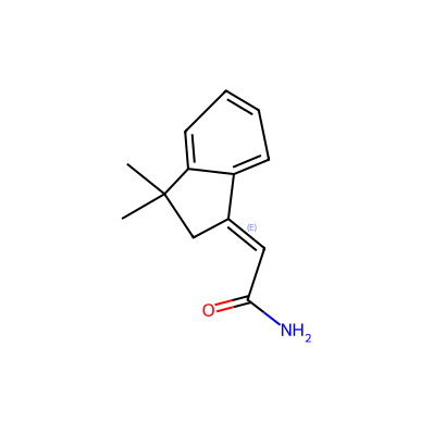 CC1(C)C/C(=C\C(N)=O)c2ccccc21